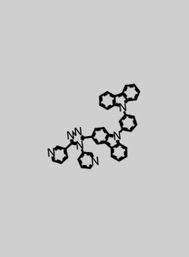 c1cncc(-c2nnc(-c3ccc4c(c3)c3ccccc3n4-c3cccc(-n4c5ccccc5c5ccccc54)c3)n2-c2cccnc2)c1